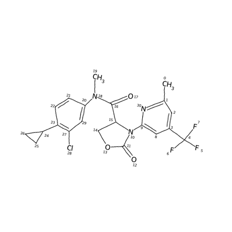 Cc1cc(C(F)(F)F)cc(N2C(=O)OCC2C(=O)N(C)c2ccc(C3CC3)c(Cl)c2)n1